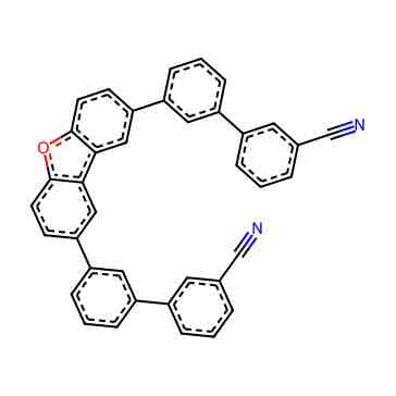 N#Cc1cccc(-c2cccc(-c3ccc4oc5ccc(-c6cccc(-c7cccc(C#N)c7)c6)cc5c4c3)c2)c1